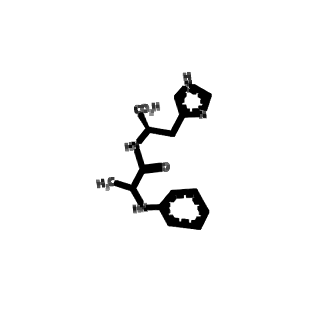 CC(Nc1ccccc1)C(=O)N[C@H](Cc1c[nH]cn1)C(=O)O